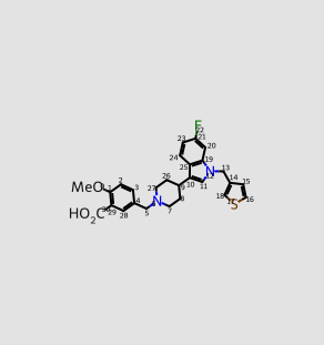 COc1ccc(CN2CCC(c3cn(Cc4ccsc4)c4cc(F)ccc34)CC2)cc1C(=O)O